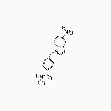 O=C(NO)c1ccc(Cn2ccc3cc([N+](=O)[O-])ccc32)cc1